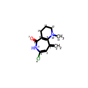 C=C1C=C(Cl)NC(=O)C2=C1N(C)CCC2